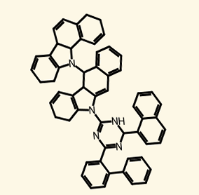 C1=CC2=C(C=CC3C4=C(CCC=C4)N(C4c5ccccc5C=C5C4C4=C(CCC=C4)N5C4=NC(c5ccccc5-c5ccccc5)=NC(c5cccc6ccccc56)N4)C23)CC1